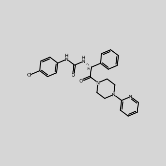 O=C(Nc1ccc(Cl)cc1)N[C@@H](C(=O)N1CCN(c2ccccn2)CC1)c1ccccc1